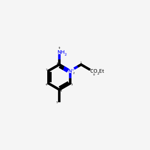 CCOC(=O)C[n+]1cc(C)ccc1N